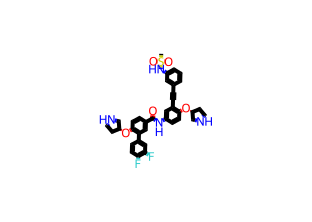 CS(=O)(=O)Nc1cccc(C#Cc2cc(NC(=O)c3ccc(O[C@H]4CCNC4)c(-c4ccc(F)c(F)c4)c3)ccc2O[C@@H]2CCNC2)c1